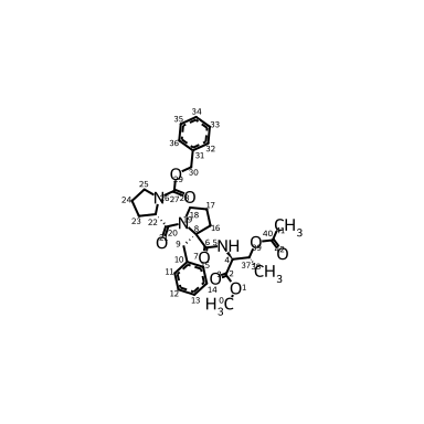 COC(=O)[C@@H](NC(=O)[C@]1(Cc2ccccc2)CCCN1C(=O)[C@@H]1CCCN1C(=O)OCc1ccccc1)[C@@H](C)OC(C)=O